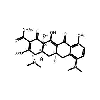 CC(=O)NC(=O)C1=C(OC(C)=O)[C@@H](N(C)C)[C@@H]2C[C@@H]3Cc4c(N(C)C)ccc(OC(C)=O)c4C(=O)C3=C(O)[C@]2(O)C1=O